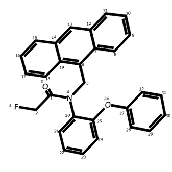 O=C(CF)N(Cc1c2ccccc2cc2ccccc12)c1ccccc1Oc1ccccc1